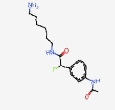 CC(=O)Nc1ccc(C(F)C(=O)NCCCCCCN)cc1